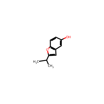 CC(C)c1cc2cc(O)ccc2o1